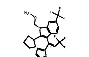 COCn1c(C2CCCC2)c(/C(=C\C(F)(F)F)c2cccs2)c2ccc(C(F)(F)F)cc21